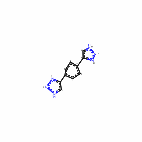 c1cc(-c2c[nH]nn2)ccc1-c1c[nH]nn1